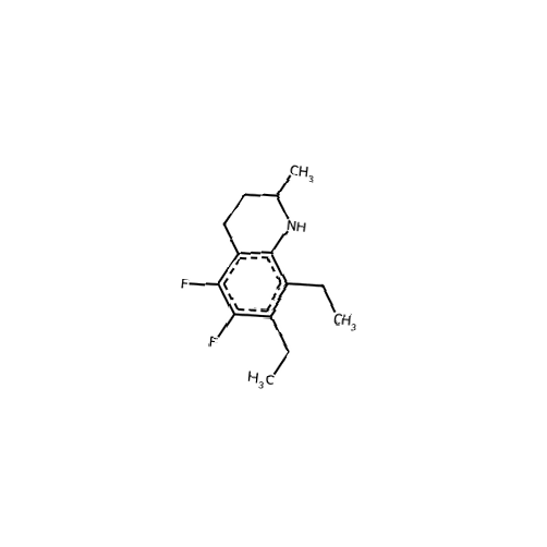 CCc1c(F)c(F)c2c(c1CC)NC(C)CC2